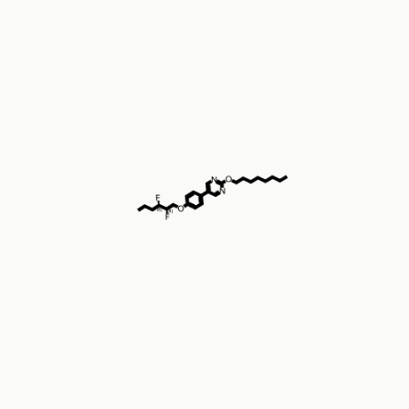 CCCCCCCCOc1ncc(-c2ccc(OC[C@@H](F)[C@H](F)CCC)cc2)cn1